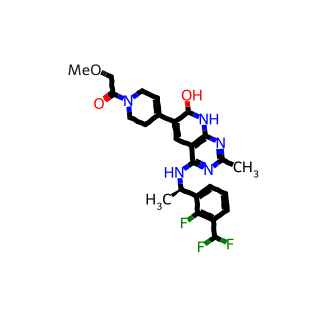 COCC(=O)N1CC=C(C2=Cc3c(nc(C)nc3N[C@H](C)c3cccc(C(F)F)c3F)NC2O)CC1